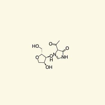 CC(=O)C1N=CNC1=O.OC[C@H]1OC[C@H](O)[C@@H]1O